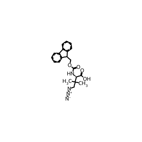 CC(C)(CN=[N+]=[N-])[C@@H](NC(=O)OCC1c2ccccc2-c2ccccc21)C(=O)O